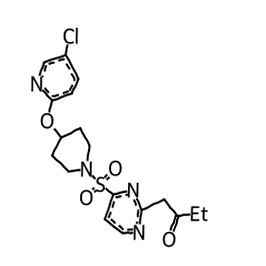 CCC(=O)Cc1nccc(S(=O)(=O)N2CCC(Oc3ccc(Cl)cn3)CC2)n1